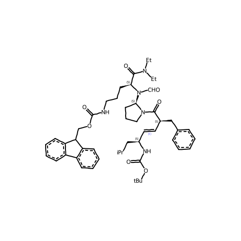 CCN(CC)C(=O)[C@H](CCCNC(=O)OCC1c2ccccc2-c2ccccc21)N(C=O)[C@@H]1CCCN1C(=O)[C@H](/C=C/[C@H](CC(C)C)NC(=O)OC(C)(C)C)Cc1ccccc1